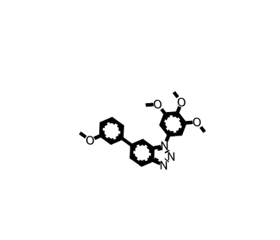 COc1cccc(-c2ccc3nnn(-c4cc(OC)c(OC)c(OC)c4)c3c2)c1